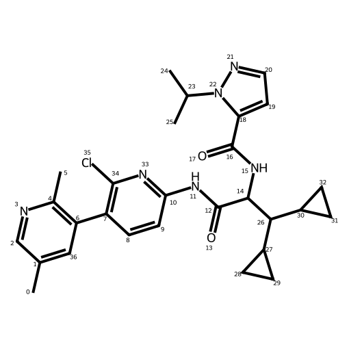 Cc1cnc(C)c(-c2ccc(NC(=O)C(NC(=O)c3ccnn3C(C)C)C(C3CC3)C3CC3)nc2Cl)c1